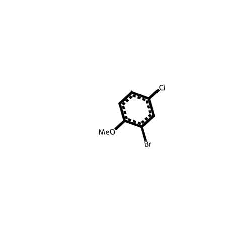 COc1c[c]c(Cl)cc1Br